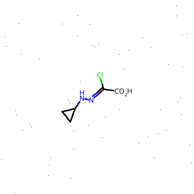 O=C(O)C(Cl)=NNC1CC1